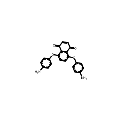 Nc1ccc(Oc2ccc(Oc3ccc(N)cc3)c3c2C(=O)C=CC3=O)cc1